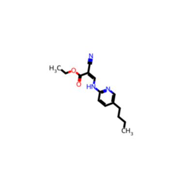 CCCCc1ccc(NC=C(C#N)C(=O)OCC)nc1